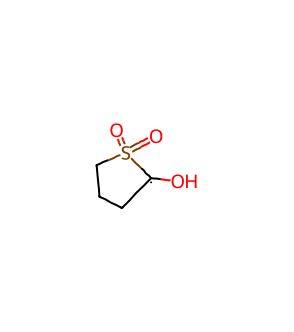 O=S1(=O)CCC[C]1O